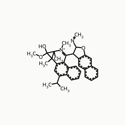 C=NC1Oc2cc3ccccc3cc2C1C1=[N+](C)C2(C)C(O)(OC)C2(C)c2cc(C(C)C)c3ccccc3c21